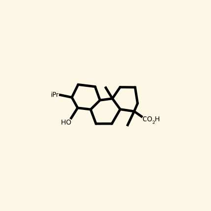 CC(C)C1CCC2C(CCC3C(C)(C(=O)O)CCCC23C)C1O